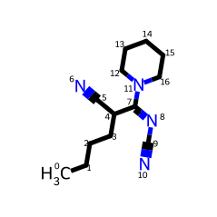 CCCCC(C#N)C(=NC#N)N1CCCCC1